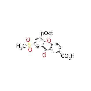 CCCCCCCCc1cc(S(C)(=O)=O)cc2c(=O)c3cc(C(=O)O)ccc3oc12